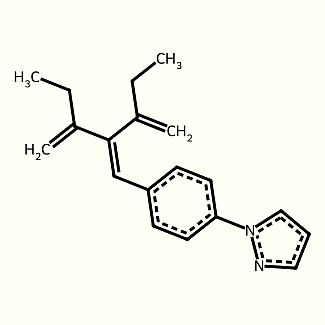 C=C(CC)C(=Cc1ccc(-n2cccn2)cc1)C(=C)CC